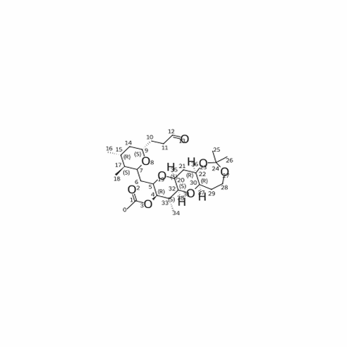 CC(=O)O[C@H]1C(CC2O[C@@H](CCC=O)C[C@@H](C)[C@@H]2C)O[C@H]2C[C@H]3OC(C)(C)OCC[C@H]3O[C@H]2[C@@H]1C